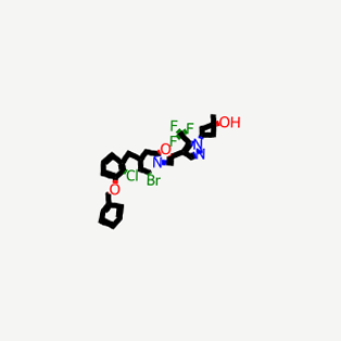 CC1(O)CC(n2ncc(-c3cnc(CC(CCBr)Cc4cccc(OCc5ccccc5)c4Cl)o3)c2C(F)(F)F)C1